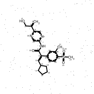 C=C(CO)c1cnc(NC(=O)/C(=C/C2CCCC2)c2ccc(S(C)(=O)=O)c(C)c2)cn1